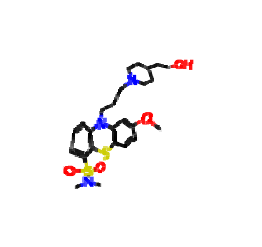 COc1ccc2c(c1)N(CCCN1CCC(CCO)CC1)c1cccc(S(=O)(=O)N(C)C)c1S2